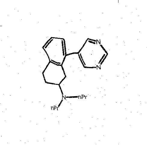 CCCN(CCC)C1CCc2cccc(-c3cncnc3)c2C1